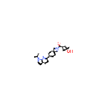 CC(C)n1ccc2ccc(C3CCC4(CC3)CN(C(=O)C3CC(C)(O)C3)C4)nc21